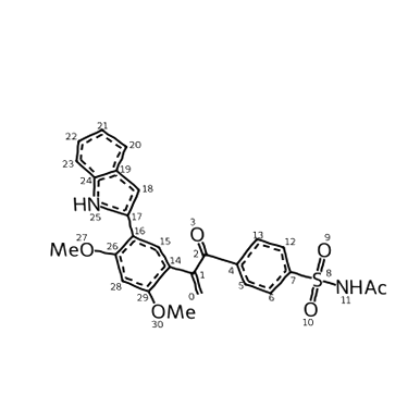 C=C(C(=O)c1ccc(S(=O)(=O)NC(C)=O)cc1)c1cc(-c2cc3ccccc3[nH]2)c(OC)cc1OC